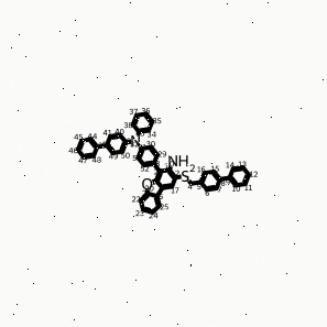 Nc1c(SCc2ccc(-c3ccccc3)cc2)cc2c(oc3ccccc32)c1-c1ccc(N(c2ccccc2)c2ccc(-c3ccccc3)cc2)cc1